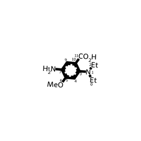 CCN(CC)c1cc(OC)c(N)cc1C(=O)O